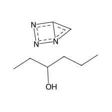 CCCC(O)CC.c1c2nnn1-2